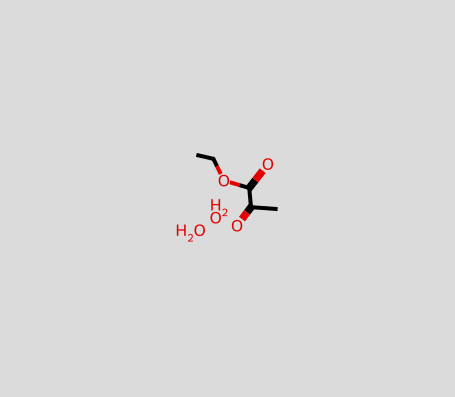 CCOC(=O)C(C)=O.O.O